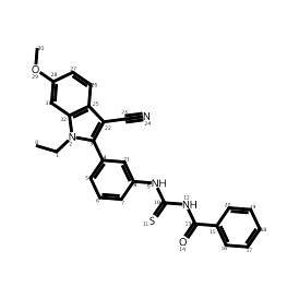 CCn1c(-c2cccc(NC(=S)NC(=O)c3ccccc3)c2)c(C#N)c2ccc(OC)cc21